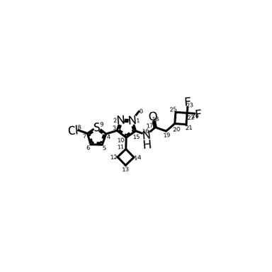 Cn1nc(-c2ccc(Cl)s2)c(C2CCC2)c1NC(=O)CC1CC(F)(F)C1